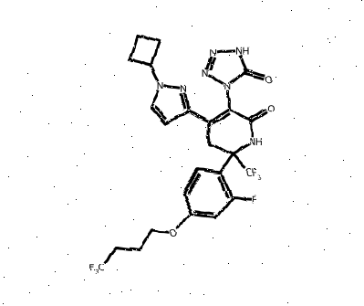 O=C1NC(c2ccc(OCCCC(F)(F)F)cc2F)(C(F)(F)F)CC(c2ccn(C3CCC3)n2)=C1n1nn[nH]c1=O